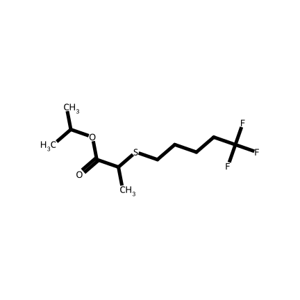 CC(C)OC(=O)C(C)SCCCCC(F)(F)F